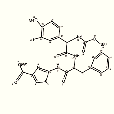 COC(=O)c1csc(NC(=O)C(Cc2ccccc2)NC(=O)C(NC(=O)OC(C)(C)C)c2ccc(OC)c(F)c2)n1